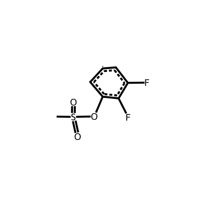 CS(=O)(=O)Oc1c[c]cc(F)c1F